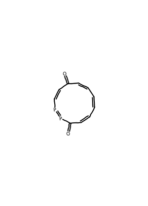 O=c1ccccccc(=O)ppcc1